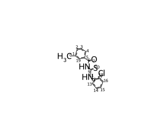 Cc1cccc(C(=O)NC(=S)Nc2ccccc2Cl)c1